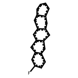 Fc1[c]cc2cc3cc4cc5ccccc5cc4cc3cc2c1